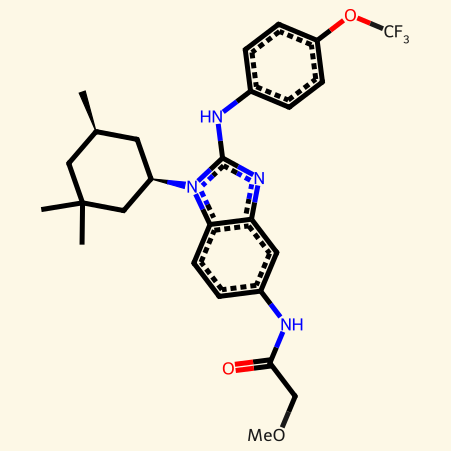 COCC(=O)Nc1ccc2c(c1)nc(Nc1ccc(OC(F)(F)F)cc1)n2[C@@H]1C[C@H](C)CC(C)(C)C1